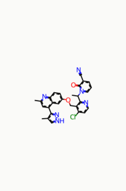 Cc1cc(-c2n[nH]cc2C)c2cc(OCc3c(Cl)ccnc3C(C)n3cccc(C#N)c3=O)ccc2n1